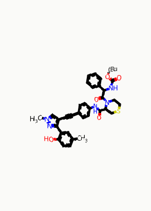 Cc1ccc(O)c(-c2nn(C)cc2C#Cc2ccc(NC(=O)C3CSCCN3C(=O)C(NC(=O)OC(C)(C)C)c3ccccc3)cc2)c1